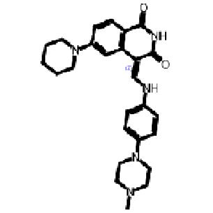 CN1CCN(c2ccc(N/C=C3\C(=O)NC(=O)c4ccc(N5CCCCC5)cc43)cc2)CC1